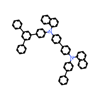 c1ccc(-c2ccc(N(c3ccc(-c4ccc(N(c5ccc(-c6cc(-c7ccccc7)cc(-c7ccccc7)c6)cc5)c5cccc6ccccc56)cc4)cc3)c3cccc4ccccc34)cc2)cc1